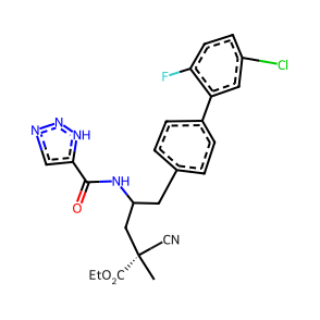 CCOC(=O)[C@@](C)(C#N)CC(Cc1ccc(-c2cc(Cl)ccc2F)cc1)NC(=O)c1cnn[nH]1